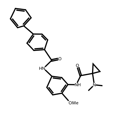 COc1ccc(NC(=O)c2ccc(-c3ccccc3)cc2)cc1NC(=O)C1(N(C)C)CC1